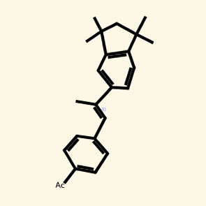 CC(=O)c1ccc(/C=C(\C)c2ccc3c(c2)C(C)(C)CC3(C)C)cc1